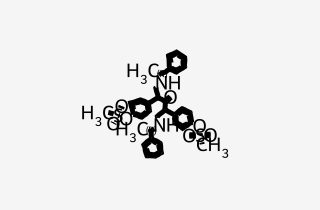 C[C@@H](NCC(C(=O)C(CN[C@H](C)c1ccccc1)c1ccc(OS(C)(=O)=O)cc1)c1ccc(OS(C)(=O)=O)cc1)c1ccccc1